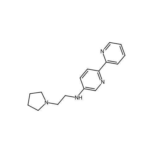 c1ccc(-c2ccc(NCCN3CCCC3)cn2)nc1